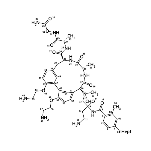 CCCCCCCc1ccc(C(=O)NC(C=O)(CCN)CN(C)[C@@H]2C(=O)N[C@@H](C)C(=O)N[C@H](C(=O)N[C@@H](C)C(=O)NOC(N)=O)Cc3ccc(OCCN)c(c3)-c3cc2ccc3OCCN)c(C)c1